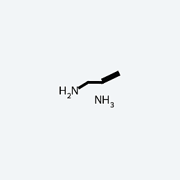 C=CCN.N